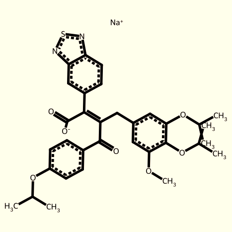 COc1cc(CC(C(=O)c2ccc(OC(C)C)cc2)=C(C(=O)[O-])c2ccc3nsnc3c2)cc(OC(C)C)c1OC(C)C.[Na+]